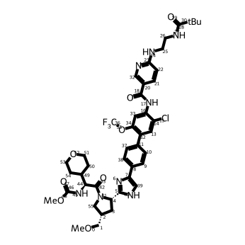 COC[C@H]1C[C@@H](c2nc(-c3ccc(-c4cc(Cl)c(NC(=O)c5ccc(NCCNC(=O)C(C)(C)C)nc5)cc4OC(F)(F)F)cc3)c[nH]2)N(C(=O)[C@@H](NC(=O)OC)C2CCOCC2)C1